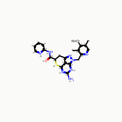 COc1c(C)cnc(Cn2nc3c4c(nc(N)nc42)SC(C(=O)Nc2ccccn2)C3)c1C